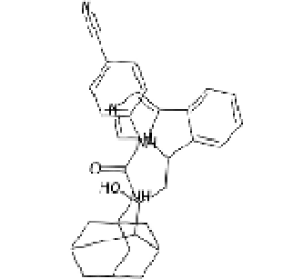 N#Cc1ccc(NC(=O)NC23CC4CC(C2)C(C(O)CC2c5ccccc5-c5cncn52)C(C4)C3)cc1